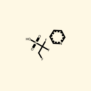 O=S(=O)(O)C(F)(F)CF.c1ccncc1